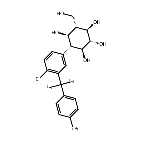 [2H]C([2H])(c1ccc(CCC)cc1)c1cc([C@H]2[C@H](O)[C@@H](O)[C@H](O)[C@@H](CO)[C@@H]2O)ccc1Cl